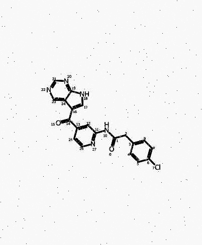 O=C(Cc1ccc(Cl)cc1)Nc1cc(C(=O)c2c[nH]c3ncncc23)ccn1